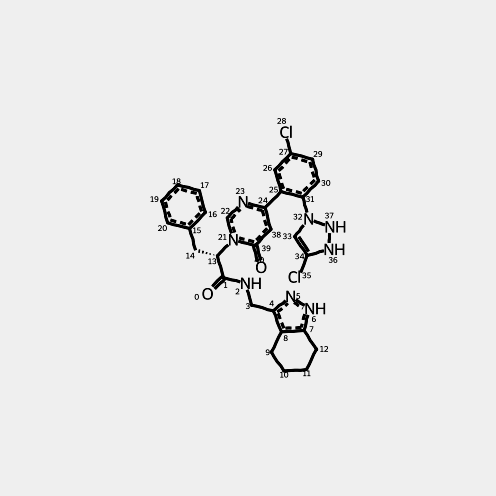 O=C(NCc1n[nH]c2c1CCCC2)[C@H](Cc1ccccc1)n1cnc(-c2cc(Cl)ccc2N2C=C(Cl)NN2)cc1=O